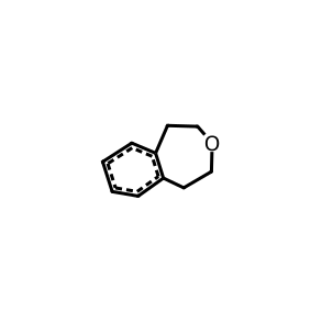 c1ccc2c(c1)CCOCC2